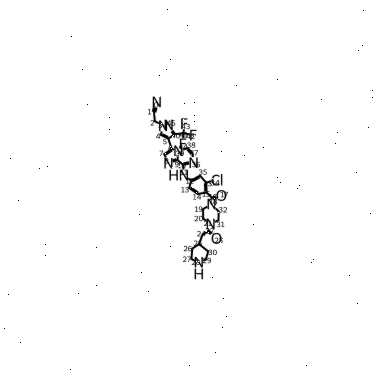 N#CCn1cc(-c2cnc3c(Nc4ccc(C(=O)N5CCN(C(=O)CC6CCNCC6)CC5)c(Cl)c4)nccn23)c(C(F)(F)F)n1